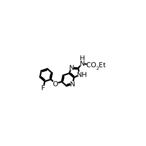 CCOC(=O)Nc1nc2cc(Oc3ccccc3F)cnc2[nH]1